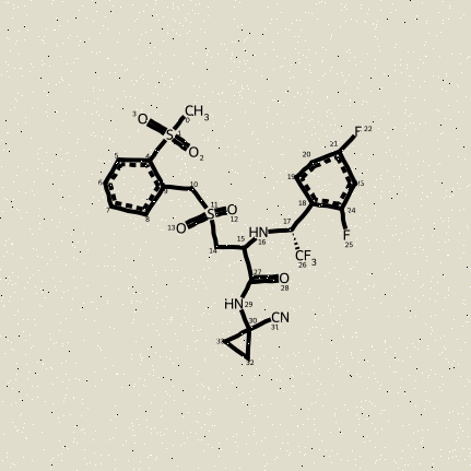 CS(=O)(=O)c1ccccc1CS(=O)(=O)CC(N[C@H](c1ccc(F)cc1F)C(F)(F)F)C(=O)NC1(C#N)CC1